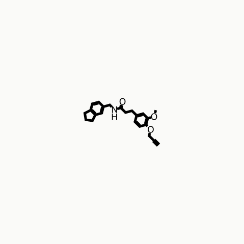 C#CCOc1ccc(CCC(=O)NCc2ccc3c(c2)CCC3)cc1OC